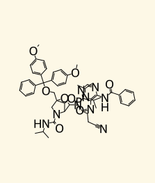 COc1ccc(C(OCC23CN(C(=O)NC(C)C)C(C(n4cnc5c(NC(=O)c6ccccc6)ncnc54)O2)C3OP(OCCC#N)N(C(C)C)C(C)C)(c2ccccc2)c2ccc(OC)cc2)cc1